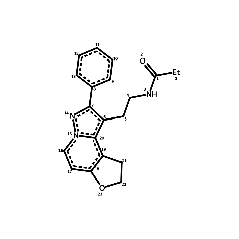 CCC(=O)NCCc1c(-c2ccccc2)nn2ccc3c(c12)CCO3